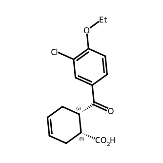 CCOc1ccc(C(=O)[C@H]2CC=CC[C@H]2C(=O)O)cc1Cl